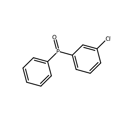 O=[P](c1ccccc1)c1cccc(Cl)c1